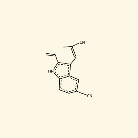 C=Cc1[nH]c2ccc(C#N)cc2c1/C=C(\C)C#N